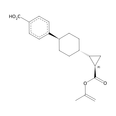 C=C(C)OC(=O)[C@@H]1CC1[C@H]1CC[C@H](c2ccc(C(=O)O)cc2)CC1